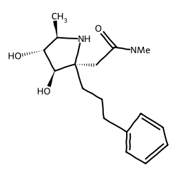 CNC(=O)C[C@@]1(CCCc2ccccc2)N[C@H](C)[C@@H](O)[C@@H]1O